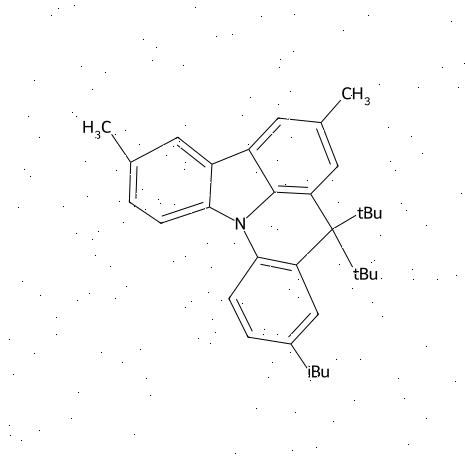 CCC(C)c1ccc2c(c1)C(C(C)(C)C)(C(C)(C)C)c1cc(C)cc3c4cc(C)ccc4n-2c13